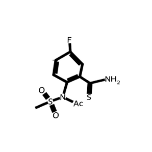 CC(=O)N(c1c[c]c(F)cc1C(N)=S)S(C)(=O)=O